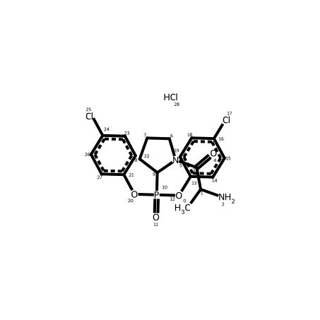 CC(N)C(=O)N1CCCC1P(=O)(Oc1ccc(Cl)cc1)Oc1ccc(Cl)cc1.Cl